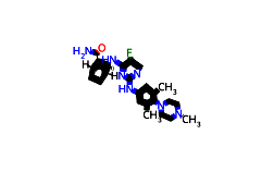 Cc1cc(Nc2ncc(F)c(N[C@H]3[C@@H](C(N)=O)[C@@H]4C=C[C@H]3C4)n2)cc(C)c1N1CCN(C)CC1